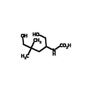 CC(C)(CO)CC(CO)NC(=O)O